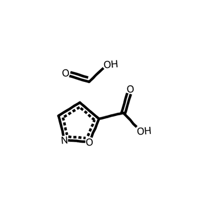 O=C(O)c1ccno1.O=CO